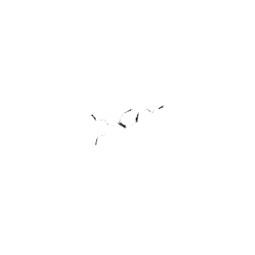 C=CCN(CC=C)c1ccc(N=NC#N)cc1